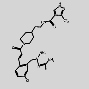 C/C(N)=N/N(N)Cc1cc(Cl)ccc1/C=C/C(=O)N1CCC(CCNC(=O)c2c[nH]nc2C(F)(F)F)CC1